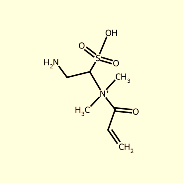 C=CC(=O)[N+](C)(C)C(CN)S(=O)(=O)O